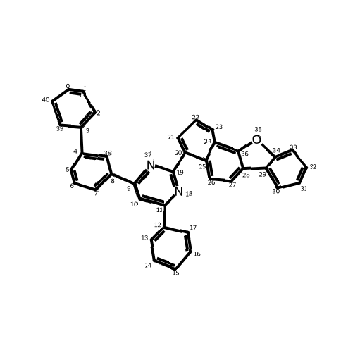 c1ccc(-c2cccc(-c3cc(-c4ccccc4)nc(-c4cccc5c4ccc4c6ccccc6oc54)n3)c2)cc1